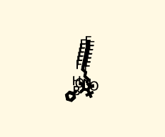 CC(C)(C)C1C(=O)N(CCCCC(F)(F)C(F)(F)C(F)(F)C(F)(F)C(F)(F)C(F)(F)F)C(=O)C1CBc1ccccc1